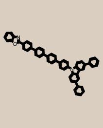 c1ccc(-c2ccc3c(c2)c2cc(-c4ccccc4)ccc2n3-c2ccc(-c3ccc(-c4ccc(-c5ccc(-c6nc7ccccc7o6)cc5)cc4)cc3)cc2)cc1